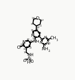 Cc1nc(N)nc(-c2cc(C3CCOCC3)cnc2Nc2cnc(Cl)c(CN[SH](=O)=O)c2)n1